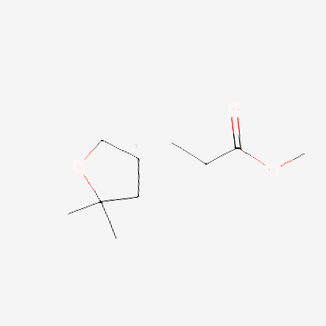 COC(=O)CC[C@H]1COC(C)(C)C1